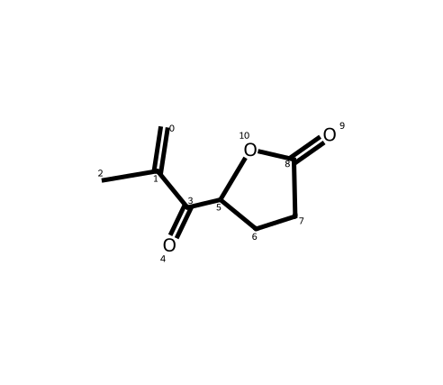 C=C(C)C(=O)C1CCC(=O)O1